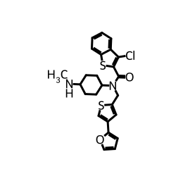 CNC1CCC(N(Cc2cc(-c3ccco3)cs2)C(=O)c2sc3ccccc3c2Cl)CC1